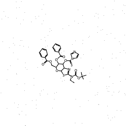 CCN(C(=O)OC(C)(C)C)C1=NC2C(OC(COC(=O)c3ccccc3)C(OC(=O)c3ccccc3)C2OC(=S)n2ccnc2)S1